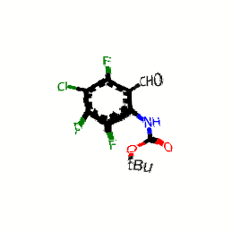 CC(C)(C)OC(=O)Nc1c(F)c(F)c(Cl)c(F)c1C=O